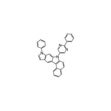 c1ccc(-c2ncc(-n3c4cc5c(ccn5-c5ccccc5)cc4c4c5ccccc5ccc43)cn2)cc1